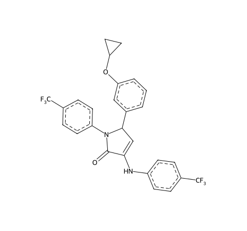 O=C1C(Nc2ccc(C(F)(F)F)cc2)=CC(c2cccc(OC3CC3)c2)N1c1ccc(C(F)(F)F)cc1